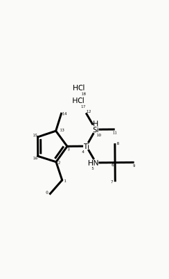 CCC1=[C]([Ti]([NH]C(C)(C)C)[SiH](C)C)C(C)C=C1.Cl.Cl